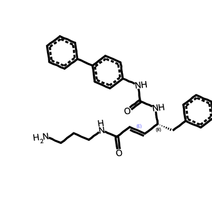 NCCCNC(=O)/C=C/[C@@H](Cc1ccccc1)NC(=O)Nc1ccc(-c2ccccc2)cc1